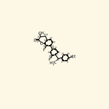 CCc1ccc(C(C)c2ccc(-c3ccc4c(c3F)OC(=O)C(C)C4)cc2F)cc1